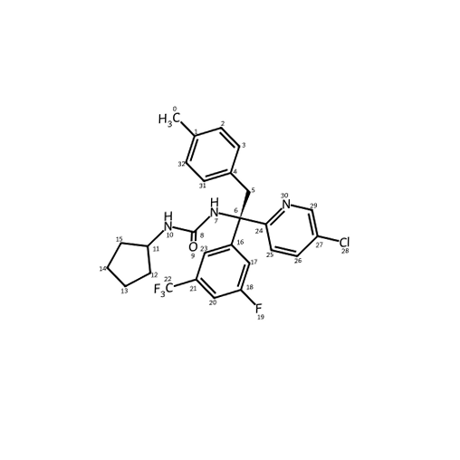 Cc1ccc(C[C@](NC(=O)NC2CCCC2)(c2cc(F)cc(C(F)(F)F)c2)c2ccc(Cl)cn2)cc1